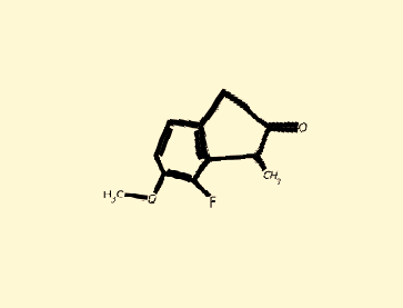 COc1ccc2c(c1F)C(C)C(=O)CC2